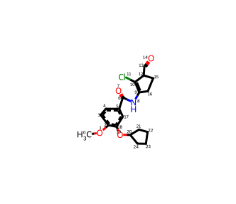 COc1ccc(C(=O)NC2=C(Cl)C(C=O)CC2)cc1OC1CCCC1